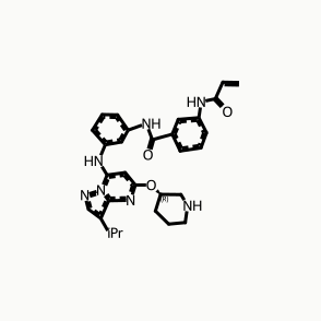 C=CC(=O)Nc1cccc(C(=O)Nc2cccc(Nc3cc(O[C@@H]4CCCNC4)nc4c(C(C)C)cnn34)c2)c1